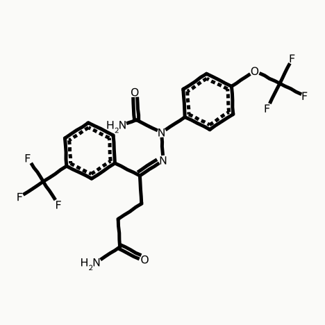 NC(=O)CC/C(=N/N(C(N)=O)c1ccc(OC(F)(F)F)cc1)c1cccc(C(F)(F)F)c1